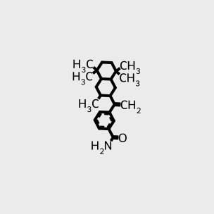 C=C(c1cccc(C(N)=O)c1)C1CC2C(CC1C)C(C)(C)CCC2(C)C